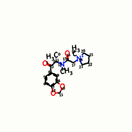 C[C@@H](C(=O)c1ccc2c(c1)OCO2)N(C)C(=O)C[N+]1(C)CCCC1